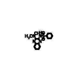 CN(C)c1nc2ccccc2nc1NS(=O)(=O)c1ccccc1